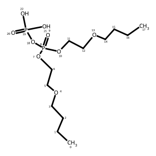 CCCCOCCOP(=O)(OCCOCCCC)OP(=O)(O)O